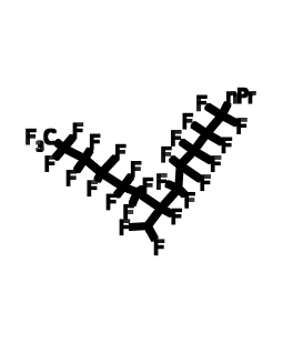 CCCC(F)(F)C(F)(F)C(F)(F)C(F)(F)C(F)(F)C(F)([C](F)F)C(F)(F)C(F)(F)C(F)(F)C(F)(F)C(F)(F)C(F)(F)F